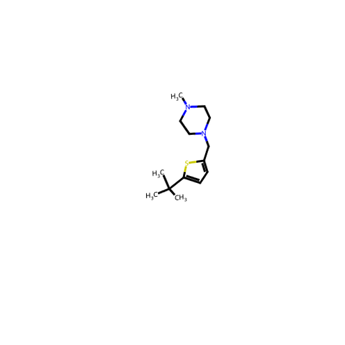 CN1CCN(Cc2ccc(C(C)(C)C)s2)CC1